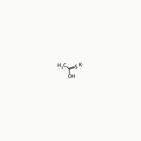 CC(O)=S.[K]